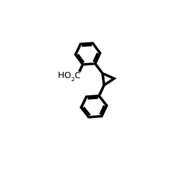 O=C(O)c1ccccc1C1CC1c1ccccc1